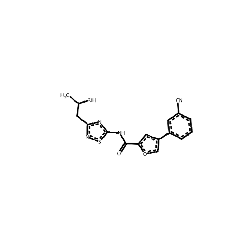 CC(O)Cc1nsc(NC(=O)c2cc(-c3cccc(C#N)c3)co2)n1